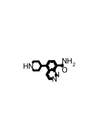 NC(=O)c1ccc(C2CCNCC2)c2ccnnc12